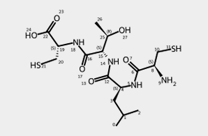 CC(C)C[C@H](NC(=O)[C@H](N)CS)C(=O)N[C@H](C(=O)N[C@H](CS)C(=O)O)[C@@H](C)O